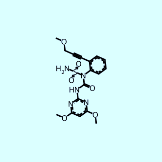 COCC#Cc1ccccc1N(C(=O)Nc1nc(OC)cc(OC)n1)S(N)(=O)=O